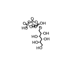 O=P(O)(O)OP(=O)(O)OP(=O)(O)OC[C@H](O)[C@@H](O)[C@H](O)[C@H](O)CO